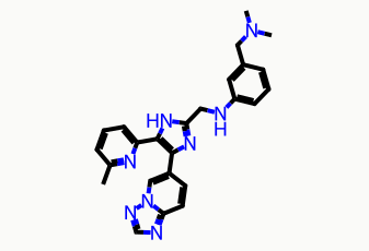 Cc1cccc(-c2[nH]c(CNc3cccc(CN(C)C)c3)nc2-c2ccc3ncnn3c2)n1